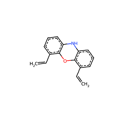 C=Cc1cccc2c1Oc1c(C=C)cccc1N2